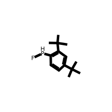 CC(C)(C)c1ccc(PF)c(C(C)(C)C)c1